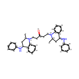 CC1CC(Nc2ccccc2)c2ccccc2N1CCC(=O)CCN1c2ccccc2C(Nc2ccccc2)CC1C